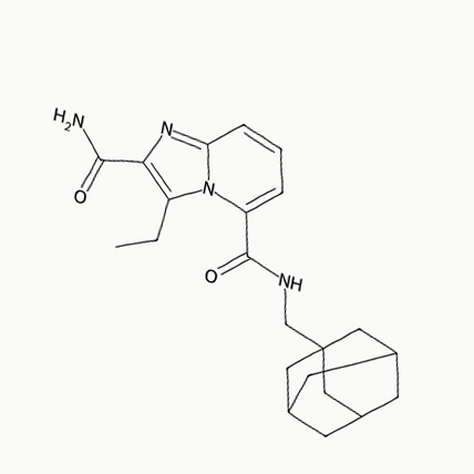 CCc1c(C(N)=O)nc2cccc(C(=O)NCC34CC5CC(CC(C5)C3)C4)n12